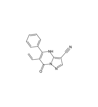 C=Cc1c(-c2ccccc2)[nH]c2c(C#N)cnn2c1=O